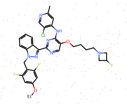 CCOc1cc(F)c(Cn2nc(-c3ncc(OCCCCN4CC(F)C4)c(Nc4cc(C)ncc4Cl)n3)c3ccccc32)c(F)c1